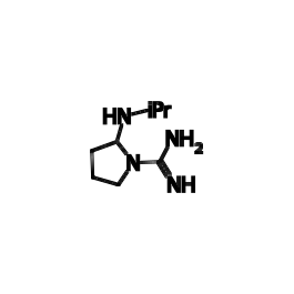 CC(C)NC1CCCN1C(=N)N